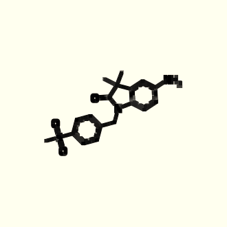 CC1(C)C(=O)N(Cc2ccc(S(C)(=O)=O)cc2)c2ccc(N)cc21